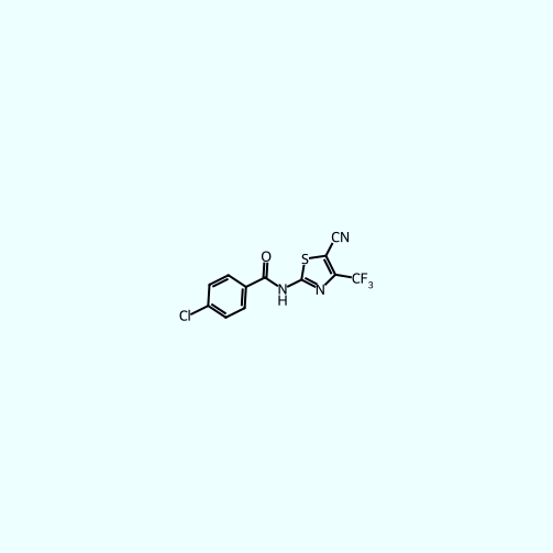 N#Cc1sc(NC(=O)c2ccc(Cl)cc2)nc1C(F)(F)F